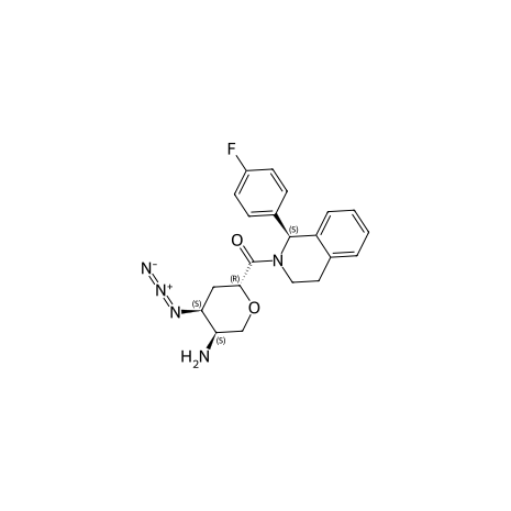 [N-]=[N+]=N[C@H]1C[C@H](C(=O)N2CCc3ccccc3[C@@H]2c2ccc(F)cc2)OC[C@H]1N